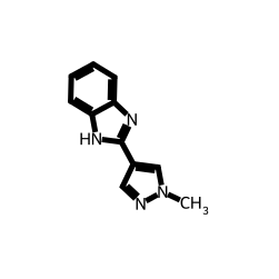 Cn1cc(-c2nc3ccccc3[nH]2)cn1